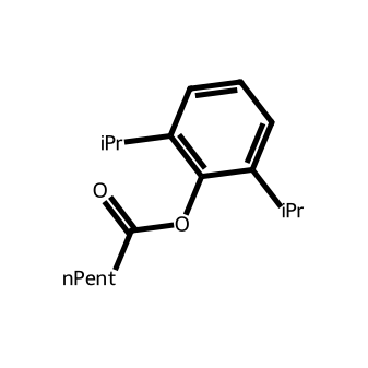 CCCCCC(=O)Oc1c(C(C)C)cccc1C(C)C